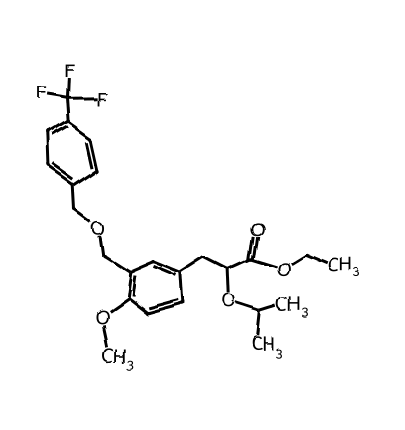 CCOC(=O)C(Cc1ccc(OC)c(COCc2ccc(C(F)(F)F)cc2)c1)OC(C)C